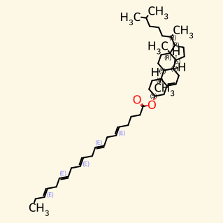 CC/C=C/C/C=C/C/C=C/C/C=C/C/C=C/CCCC(=O)O[C@H]1CC[C@@]2(C)C(=CC[C@H]3[C@@H]4CC[C@H]([C@H](C)CCCC(C)C)[C@@]4(C)CC[C@@H]32)C1